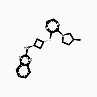 CC1CCN(c2nccnc2O[C@H]2C[C@H](Nc3nc4ccccc4s3)C2)C1